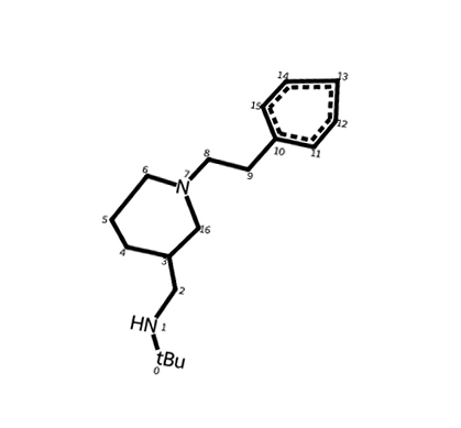 CC(C)(C)NCC1CCCN(CCc2ccccc2)C1